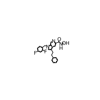 O=C(NO)c1cc2c(CCc3ccccc3)cn(Cc3ccc(F)cc3F)c2cn1